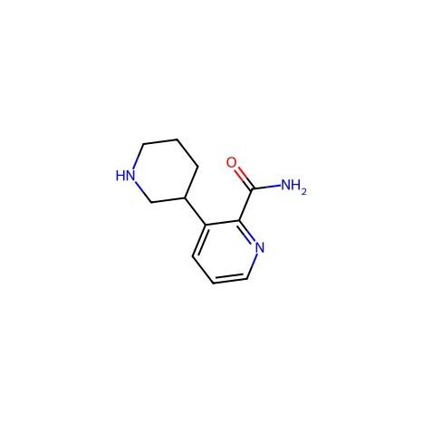 NC(=O)c1ncccc1C1CCCNC1